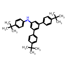 CC(C)(C)c1ccc(Nc2cc(-c3ccc(C(C)(C)C)cc3)cc(-c3ccc(C(C)(C)C)cc3)c2)cc1